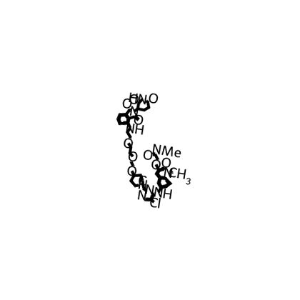 CNC(=O)COc1cc2cc(Nc3nc(N4CCC(OCCOCCOCCNc5cccc6c5C(=O)N(C5CCC(=O)NC5=O)C6=O)CC4)ncc3Cl)ccc2n(C)c1=O